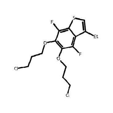 CCc1csc2c(F)c(OCCCCl)c(OCCCCl)c(F)c12